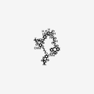 COc1cc2c(cc1OCCCCCOc1cc3c(cc1OC)C(=O)N1CC4(CC4)C[C@H]1[C@H](O)N3C(=O)OCc1ccc(NC(=O)[C@H](C)NC(=O)[C@@H](NC(=O)CNC(=O)CNC(=O)CCC(=O)N3Cc4ccccc4-c4c(nnn4C(C)C)-c4ccccc43)C(C)C)cc1)N=C[C@@H]1CC3(CC3)CN1C2=O